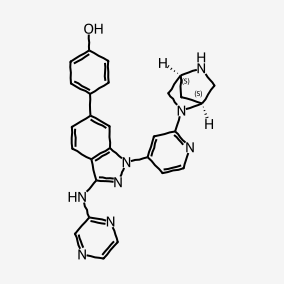 Oc1ccc(-c2ccc3c(Nc4cnccn4)nn(-c4ccnc(N5C[C@@H]6C[C@H]5CN6)c4)c3c2)cc1